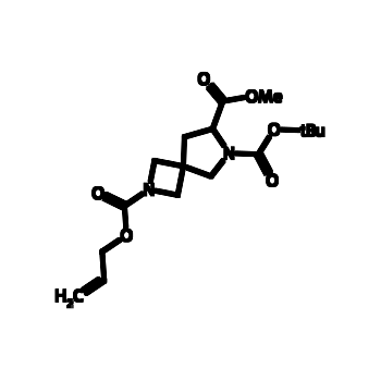 C=CCOC(=O)N1CC2(CC(C(=O)OC)N(C(=O)OC(C)(C)C)C2)C1